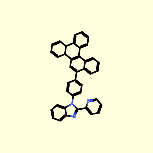 C1=CC2c3ccccc3-c3c(cc(-c4ccc(-n5c(-c6ccccn6)nc6ccccc65)cc4)c4ccccc34)C2C=C1